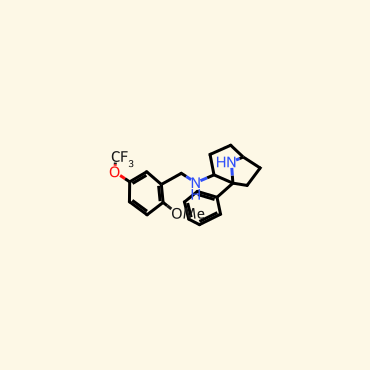 COc1ccc(OC(F)(F)F)cc1CNC1CCC2CCC1(c1ccccc1)N2